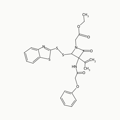 C=C(C)C1(NC(=O)COc2ccccc2)C(=O)N(CC(=O)OCC)C1SSc1nc2ccccc2s1